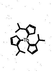 CC(C)C1=[C]([Tb]([C]2=C(C(C)C)C=CC2)[C]2=C(C(C)C)C=CC2)CC=C1